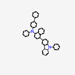 C1=CC2c3cc(-c4ccc(N(c5ccccc5)c5ccc(-c6ccccc6)cc5)c5ccccc45)ccc3N(c3ccccc3)C2C=C1